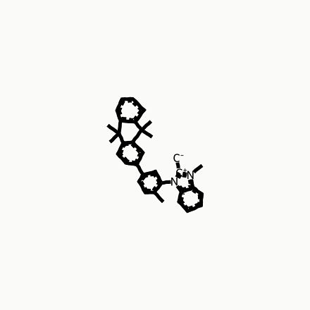 [CH2-][c+]1n(C)c2ccccc2n1-c1cc(-c2ccc3c(c2)C(C)(C)c2ccccc2C3(C)C)ccc1C